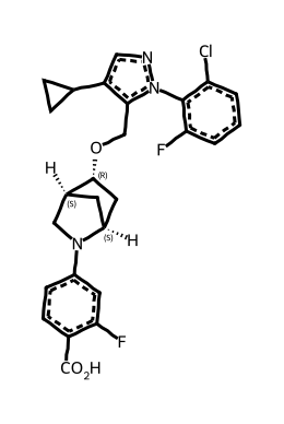 O=C(O)c1ccc(N2C[C@@H]3C[C@H]2C[C@H]3OCc2c(C3CC3)cnn2-c2c(F)cccc2Cl)cc1F